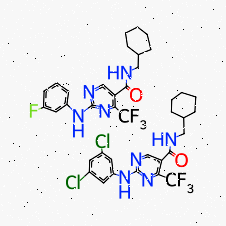 O=C(NCC1CCCCC1)c1cnc(Nc2cc(Cl)cc(Cl)c2)nc1C(F)(F)F.O=C(NCC1CCCCC1)c1cnc(Nc2cccc(F)c2)nc1C(F)(F)F